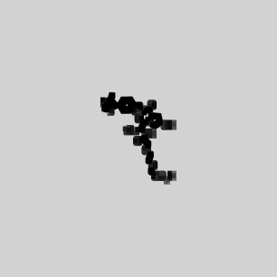 Cc1ncsc1-c1ccc(CNC(=O)[C@@H]2C[C@H](O)CN2C(=O)[C@@H](NC(=O)COCCOCC(=O)O)C(C)(C)C)cc1